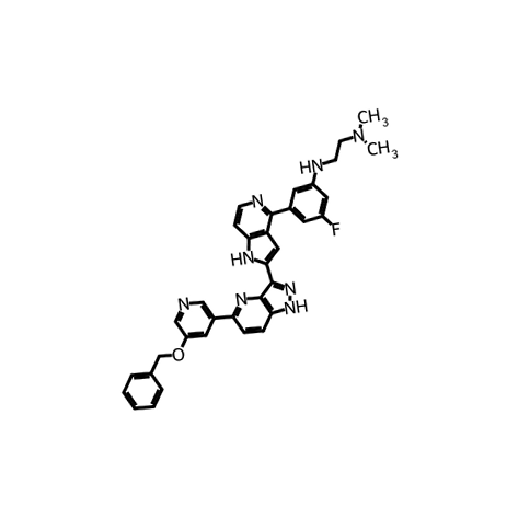 CN(C)CCNc1cc(F)cc(-c2nccc3[nH]c(-c4n[nH]c5ccc(-c6cncc(OCc7ccccc7)c6)nc45)cc23)c1